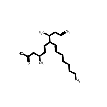 C=CCC(C)C(C=CCCCCCC)CCC(C)CC(=O)O